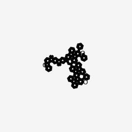 CC1(C)c2cc(CCC(c3ccc4c(c3)C3(c5ccccc5-c5ccccc53)c3cc5c(cc3-4)C3(c4ccccc4-c4ccccc43)c3ccc4oc6ccccc6c4c3-5)c3ccc4c(c3)C3(c5ccccc5-c5ccccc53)c3cc(-c5ccccc5)c5oc6ccccc6c5c3-4)ccc2-c2cc3c(cc21)-c1c(ccc2oc4ccccc4c12)C3(C)C